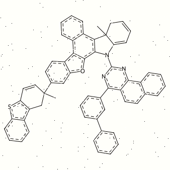 CC1(c2ccc3c(c2)oc2c4c(c5ccccc5c23)C2(C)CC=CC=C2N4c2nc(-c3cccc(-c4ccccc4)c3)c3ccc4ccccc4c3n2)C=Cc2sc3ccccc3c2C1